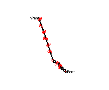 [CH2]CCCCC(=O)OCCCCCC(=O)OCCCCCC(=O)OCCCCCC(=O)OCCCCCC(=O)OCCCCCC(=O)OCCCCCCCCOc1ccc(C(=O)Oc2ccc(OC(=O)C3CCC(C4CCC(CCCCC)CC4)CC3)cc2)cc1